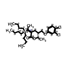 CCC[CH2][Sn]([CH2]CCC)([CH2]CCC)/[C](C)=C(/CCCOc1ccc(Cl)c(Cl)c1)C(=O)OCC